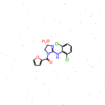 O.O=C(c1ccco1)N1CCN=C1Nc1c(Cl)cccc1Cl